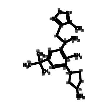 Cc1nonc1CN(N)c1nc(C(C)(C)C)nc(N2CCC(N)C2)c1N